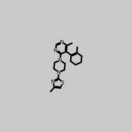 CC1=C(c2c(C)ncnc2N2CCN(c3nc(C)cs3)CC2)CCCC1